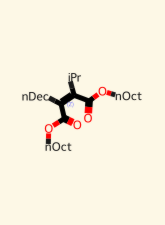 CCCCCCCCCC/C(C(=O)OCCCCCCCC)=C(/C(=O)OCCCCCCCC)C(C)C